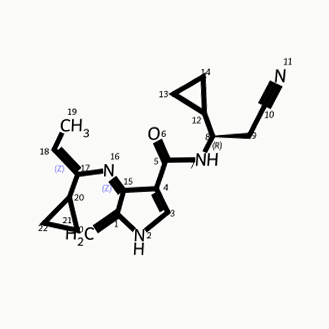 C=C1NC=C(C(=O)N[C@H](CC#N)C2CC2)/C1=N/C(=C\C)C1CC1